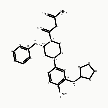 COc1ccc(N2CCN(C(=O)CC(N)=O)[C@@H](Cc3ccccc3)C2)cc1OC1CCCC1